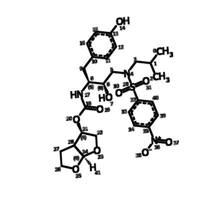 CC(C)CN(C[C@@H](O)[C@H](Cc1ccc(O)cc1)NC(=O)O[C@H]1CO[C@H]2OCCC21)S(=O)(=O)c1ccc([N+](=O)[O-])cc1